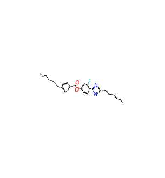 CCCCCCc1ccc(C(=O)Oc2ccc(-c3ncc(CCCCCC)cn3)c(F)c2)cc1